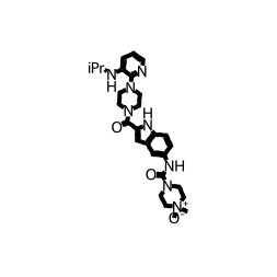 CC(C)Nc1cccnc1N1CCN(C(=O)c2cc3cc(NC(=O)N4CC[N+](C)([O-])CC4)ccc3[nH]2)CC1